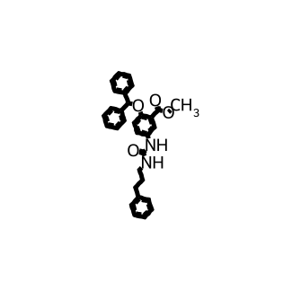 COC(=O)c1cc(NC(=O)NCCCc2ccccc2)ccc1OC(c1ccccc1)c1ccccc1